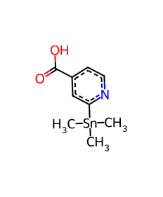 [CH3][Sn]([CH3])([CH3])[c]1cc(C(=O)O)ccn1